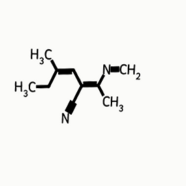 C=N/C(C)=C(C#N)\C=C(\C)CC